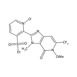 CCS(=O)(=O)c1ccc[n+]([O-])c1-c1nc2cc(C(F)(F)F)n(OC)c(=O)c2n1C